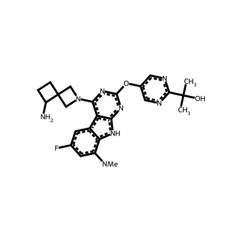 CNc1cc(F)cc2c1[nH]c1nc(Oc3cnc(C(C)(C)O)nc3)nc(N3CC4(CCC4N)C3)c12